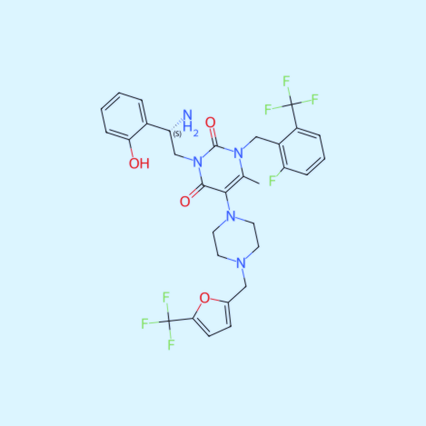 Cc1c(N2CCN(Cc3ccc(C(F)(F)F)o3)CC2)c(=O)n(C[C@@H](N)c2ccccc2O)c(=O)n1Cc1c(F)cccc1C(F)(F)F